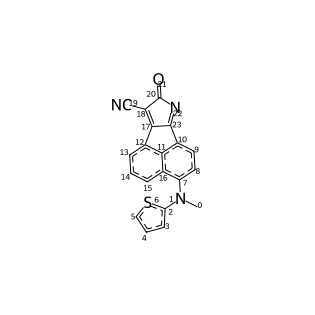 CN(c1cccs1)c1ccc2c3c(cccc13)C1=C(C#N)C(=O)N=C12